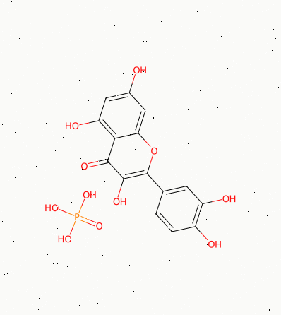 O=P(O)(O)O.O=c1c(O)c(-c2ccc(O)c(O)c2)oc2cc(O)cc(O)c12